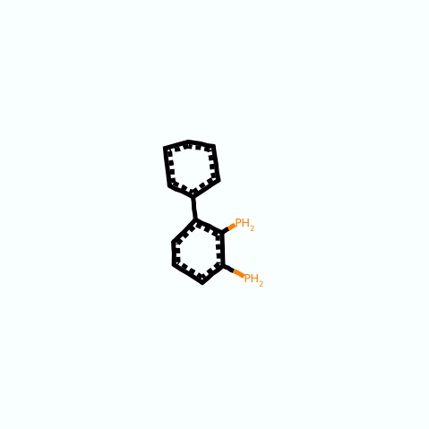 Pc1cccc(-c2ccccc2)c1P